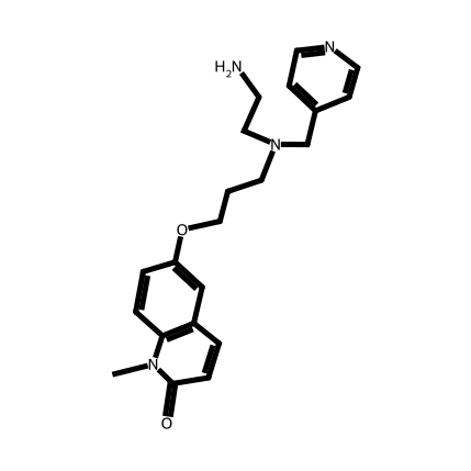 Cn1c(=O)ccc2cc(OCCCN(CCN)Cc3ccncc3)ccc21